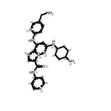 NCc1ccc(Nc2cc(NC3CCC(N)CC3)nn3c(C(=O)Nc4ccncc4)cnc23)nc1